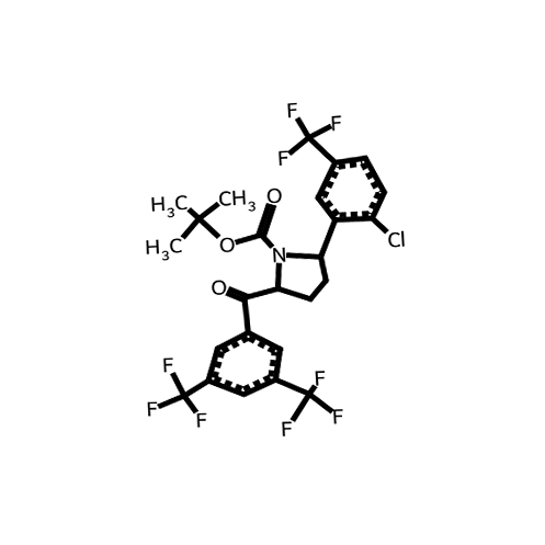 CC(C)(C)OC(=O)N1C(C(=O)c2cc(C(F)(F)F)cc(C(F)(F)F)c2)CCC1c1cc(C(F)(F)F)ccc1Cl